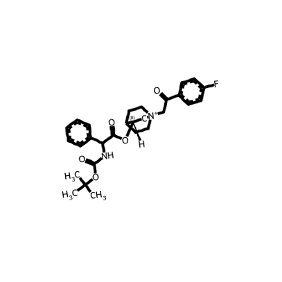 CC(C)(C)OC(=O)NC(C(=O)O[C@H]1C[N+]2(CC(=O)c3ccc(F)cc3)CCC1CC2)c1ccccc1